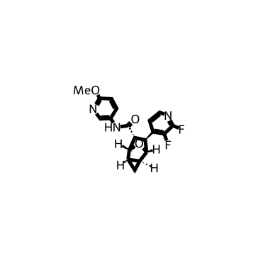 COc1ccc(NC(=O)[C@H]2[C@@H]3O[C@@H]([C@H]4C[C@H]43)[C@@H]2c2ccnc(F)c2F)cn1